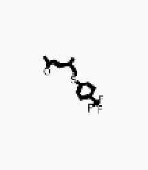 CC(=O)/C=C/C(C)CSc1ccc(C(F)(F)F)cc1